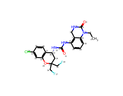 CCN1C(=O)NCc2c(NC(=O)N[C@@H]3CC(CF)(CF)Oc4cc(Cl)ccc43)cccc21